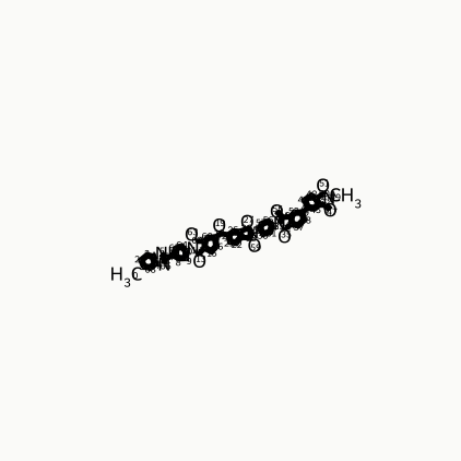 Cc1ccc2[nH]c(-c3ccc(N4C(=O)c5ccc(C(=O)c6ccc7c(c6)C(=O)N(c6ccc(N8C(=O)c9ccc(-c%10ccc%11c(c%10)C(=O)N(C)C%11=O)cc9C8=O)cc6)C7=O)cc5C4=O)cc3)nc2c1